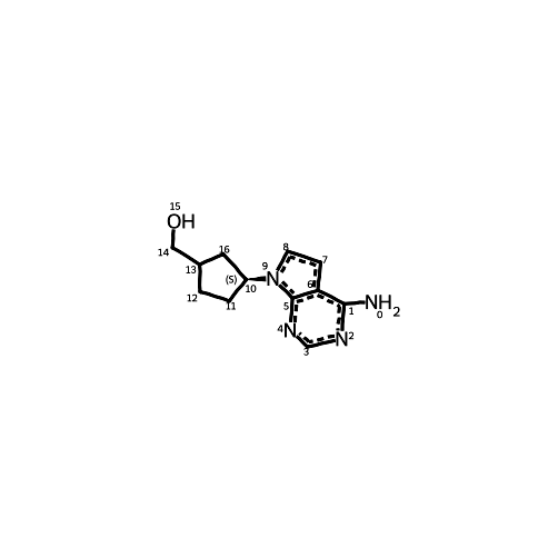 Nc1ncnc2c1ccn2[C@H]1CCC(CO)C1